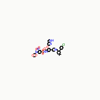 CN(c1ccc(S(=O)(=O)NC(=O)c2ccc(C3=CCN(CC4=C(c5ccc(Cl)cc5)CC(C)(C)CC4)CC3)cc2Oc2cnc3[nH]ccc3c2)cc1[N+](=O)[O-])[C@H]1COCCO1